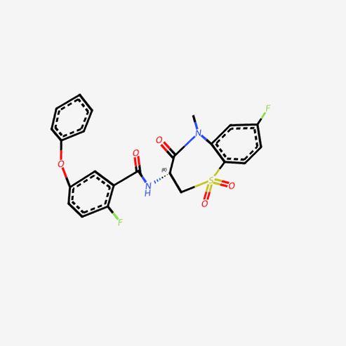 CN1C(=O)[C@@H](NC(=O)c2cc(Oc3ccccc3)ccc2F)CS(=O)(=O)c2ccc(F)cc21